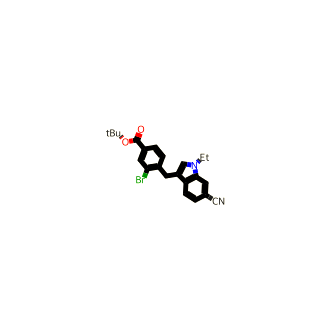 CCn1cc(Cc2ccc(C(=O)OC(C)(C)C)cc2Br)c2ccc(C#N)cc21